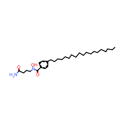 CCCCCCCCCCCCCCCCCCCc1ccc(C(=O)N(O)CCCC(N)=O)cc1